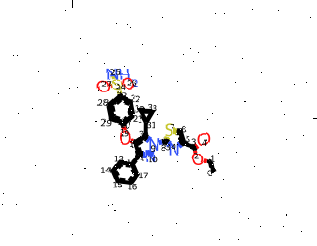 CCOC(=O)c1csc(-n2nc(-c3ccccc3)c(Oc3ccc(S(N)(=O)=O)cc3)c2C2CC2)n1